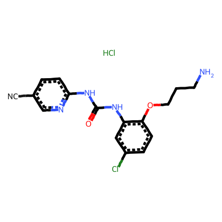 Cl.N#Cc1ccc(NC(=O)Nc2cc(Cl)ccc2OCCCN)nc1